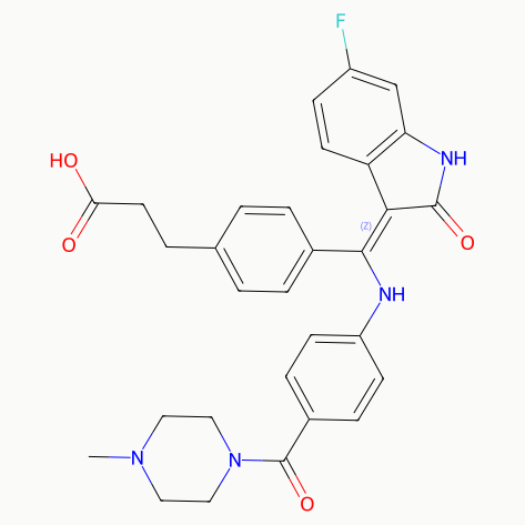 CN1CCN(C(=O)c2ccc(N/C(=C3\C(=O)Nc4cc(F)ccc43)c3ccc(CCC(=O)O)cc3)cc2)CC1